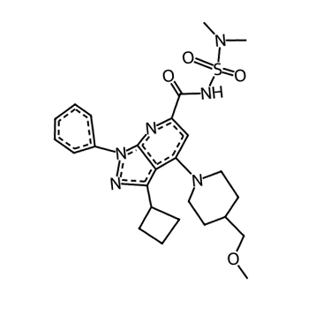 COCC1CCN(c2cc(C(=O)NS(=O)(=O)N(C)C)nc3c2c(C2CCC2)nn3-c2ccccc2)CC1